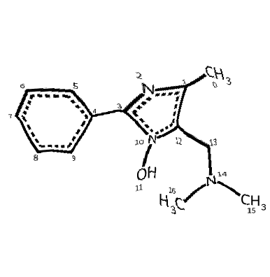 Cc1nc(-c2ccccc2)n(O)c1CN(C)C